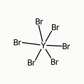 [Br][Y]([Br])([Br])([Br])([Br])[Br]